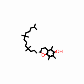 Cc1c(C)c2c(c(C)c1O)CC[C@@H](CCCC(C)(C)CCCC(C)(C)CCCC(C)C)O2